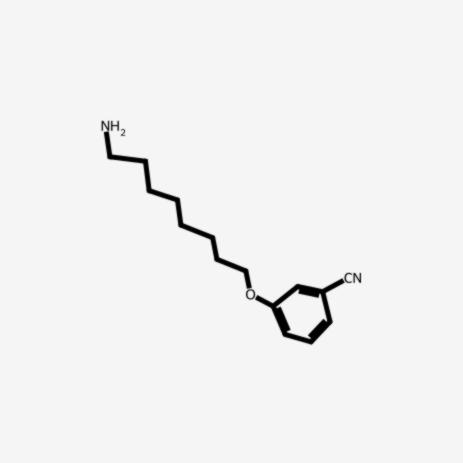 N#Cc1cccc(OCCCCCCCCN)c1